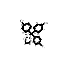 O=P1(C(c2ccc(F)cc2)(c2ccc(F)cc2)c2ccc(F)cc2)OCCO1